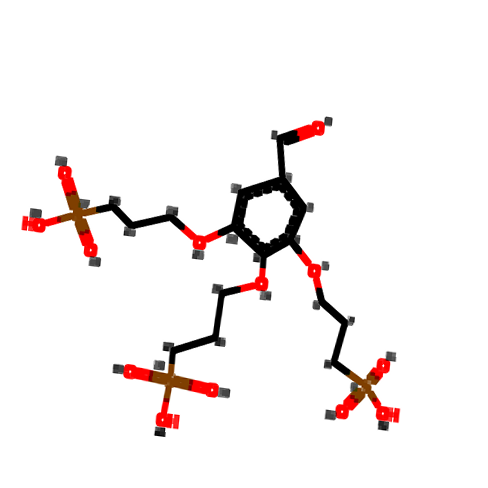 O=[C]c1cc(OCCCS(=O)(=O)O)c(OCCCS(=O)(=O)O)c(OCCCS(=O)(=O)O)c1